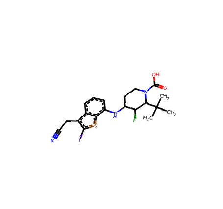 CC(C)(C)C1C(F)C(Nc2cccc3c(CC#N)c(I)sc23)CCN1C(=O)O